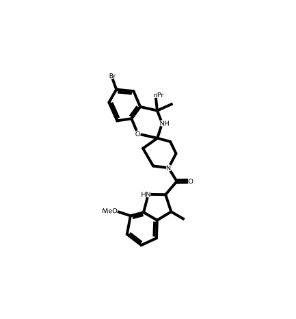 CCCC1(C)NC2(CCN(C(=O)C3Nc4c(OC)cccc4C3C)CC2)Oc2ccc(Br)cc21